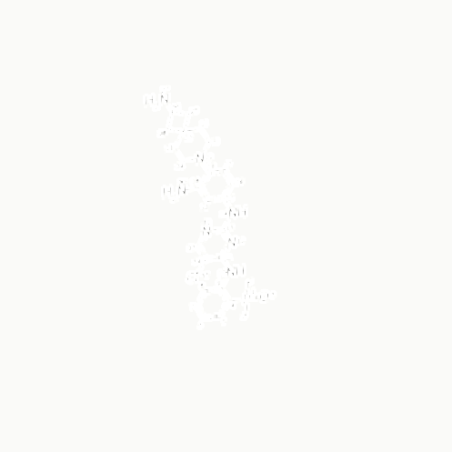 CP(C)(=O)c1ccccc1Nc1nc(Nc2ccc(N3CCC4(CC3)CC(N)C4)c(N)c2)ncc1Cl